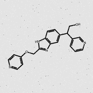 OCC(c1cccnc1)c1ccc2[nH]c(COc3ccncc3)nc2c1